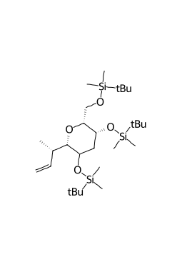 C=C[C@H](C)[C@@H]1O[C@H](CO[Si](C)(C)C(C)(C)C)[C@H](O[Si](C)(C)C(C)(C)C)CC1O[Si](C)(C)C(C)(C)C